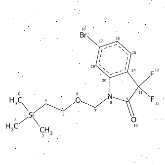 C[Si](C)(C)CCOCN1C(=O)C(F)(F)c2ccc(Br)cc21